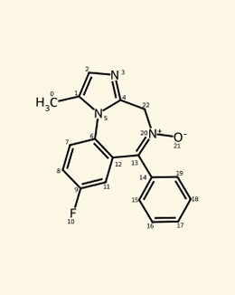 Cc1cnc2n1-c1ccc(F)cc1C(c1ccccc1)=[N+]([O-])C2